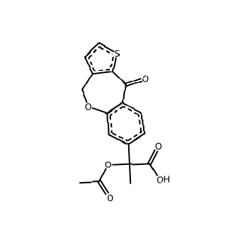 CC(=O)OC(C)(C(=O)O)c1ccc2c(c1)OCc1ccsc1C2=O